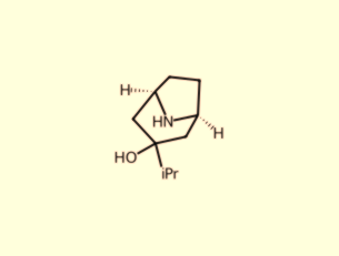 CC(C)C1(O)C[C@H]2CC[C@@H](C1)N2